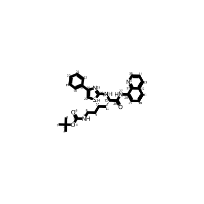 CC(C)(C)OC(=O)NCCCC[C@H](Nc1nc(-c2ccccc2)cs1)C(=O)Nc1cccc2cccnc12